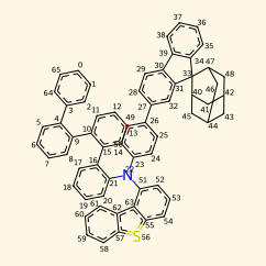 c1ccc(-c2ccccc2-c2ccccc2-c2ccccc2N(c2ccc(-c3ccc4c(c3)C3(c5ccccc5-4)C4CC5CC(C4)CC3C5)cc2)c2cccc3sc4ccccc4c23)cc1